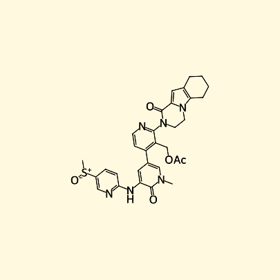 CC(=O)OCc1c(-c2cc(Nc3ccc([S+](C)[O-])cn3)c(=O)n(C)c2)ccnc1N1CCn2c(cc3c2CCCC3)C1=O